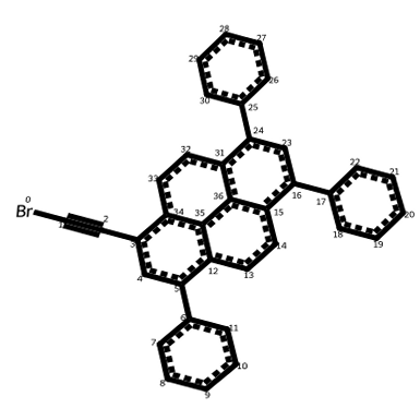 BrC#Cc1cc(-c2ccccc2)c2ccc3c(-c4ccccc4)cc(-c4ccccc4)c4ccc1c2c43